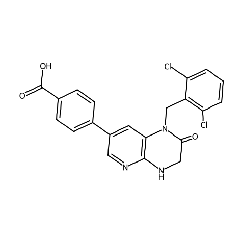 O=C(O)c1ccc(-c2cnc3c(c2)N(Cc2c(Cl)cccc2Cl)C(=O)CN3)cc1